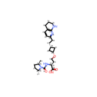 C[C@@H]1CC[C@@H](C)N1C(=O)N[C@@H](CCO[C@H]1C[C@@H](CCc2ccc3c(n2)NCCC3)C1)C(=O)O